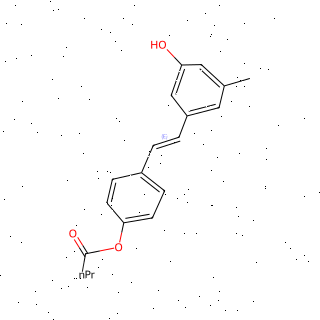 CCCC(=O)Oc1ccc(/C=C/c2cc(C)cc(O)c2)cc1